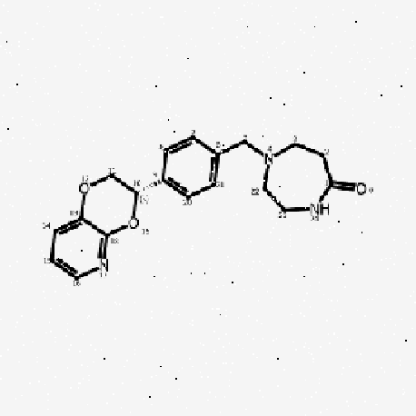 O=C1CCN(Cc2ccc([C@H]3COc4cccnc4O3)cc2)CCN1